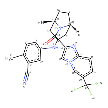 Cc1ccc(NC2C[C@H]3CC[C@@H](C2)N3C(=O)c2cn3cc(C(F)(F)F)ccc3n2)cc1C#N